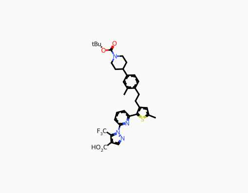 Cc1cc(CCc2ccc(C3CCN(C(=O)OC(C)(C)C)CC3)cc2C)c(-c2cccc(-n3ncc(C(=O)O)c3C(F)(F)F)n2)s1